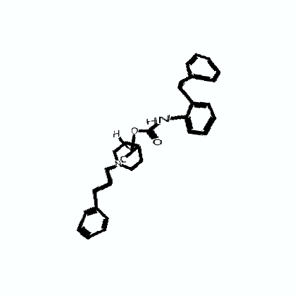 O=C(Nc1ccccc1Cc1ccccc1)O[C@H]1C[N+]2(CCCc3ccccc3)CCC1CC2